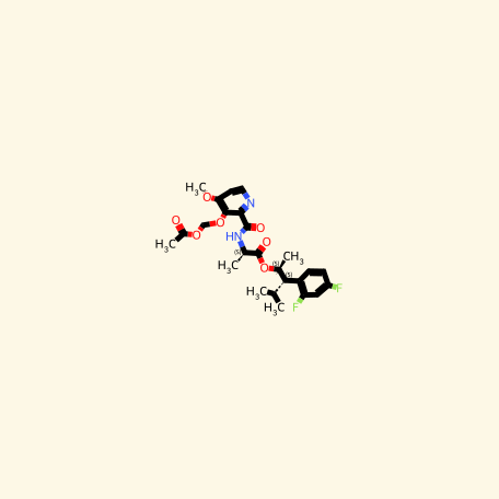 COc1ccnc(C(=O)N[C@@H](C)C(=O)O[C@@H](C)[C@H](c2ccc(F)cc2F)C(C)C)c1OCOC(C)=O